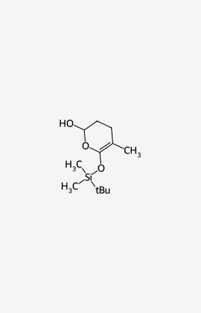 CC1=C(O[Si](C)(C)C(C)(C)C)OC(O)CC1